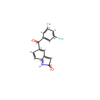 O=C1C=c2cc(C(=O)c3cc(F)cc(F)c3)ccc2=N1